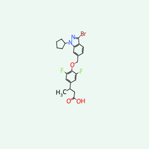 CC(CC(=O)O)c1cc(F)c(OCc2ccc3c(Br)nn(C4CCCC4)c3c2)c(F)c1